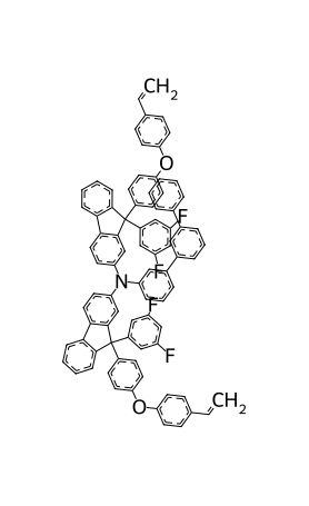 C=Cc1ccc(Oc2ccc(C3(c4cc(F)cc(F)c4)c4ccccc4-c4ccc(N(c5cccc(-c6cccc(-c7ccccc7)c6)c5)c5ccc6c(c5)C(c5ccc(Oc7ccc(C=C)cc7)cc5)(c5cc(F)cc(F)c5)c5ccccc5-6)cc43)cc2)cc1